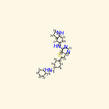 c1ccc(CNCc2ccc(-c3cc4ncnc(Nc5ccc6[nH]ccc6c5)c4s3)cc2)cc1